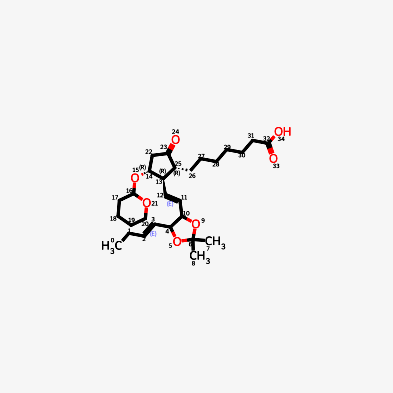 CC/C=C/C1OC(C)(C)OC1/C=C/[C@H]1[C@H](OC2CCCCO2)CC(=O)[C@@H]1CCCCCCC(=O)O